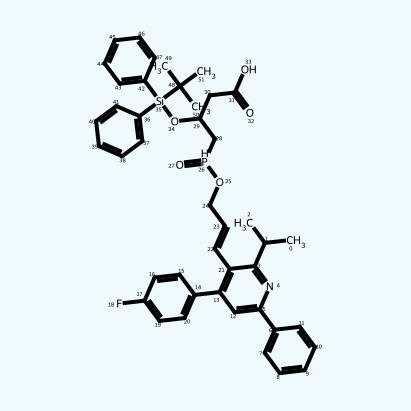 CC(C)c1nc(-c2ccccc2)cc(-c2ccc(F)cc2)c1C=CCO[PH](=O)CC(CC(=O)O)O[Si](c1ccccc1)(c1ccccc1)C(C)(C)C